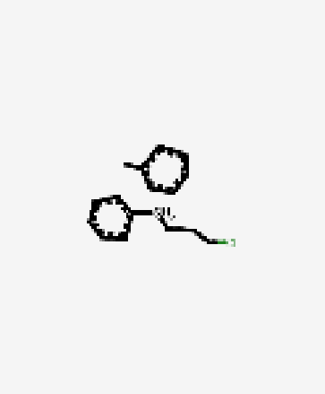 Cc1ccccc1.ClCCC[SiH2]c1ccccc1